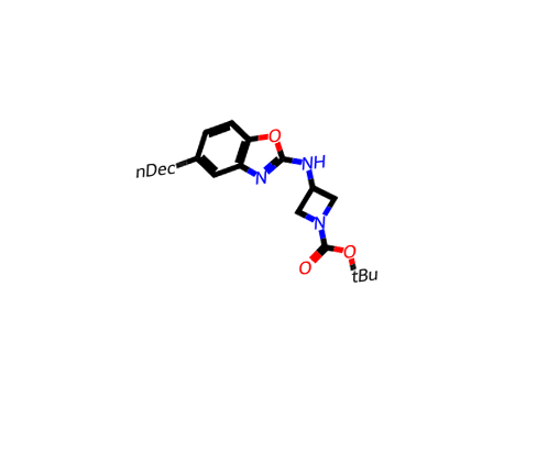 CCCCCCCCCCc1ccc2oc(NC3CN(C(=O)OC(C)(C)C)C3)nc2c1